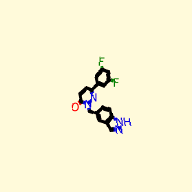 O=c1ccc(-c2cc(F)cc(F)c2)nn1Cc1ccc2[nH]ncc2c1